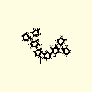 Cc1c(-c2ccc3[nH]c4ccc(-c5ccc(N(c6ccccc6)c6ccccc6)c(C)c5C)cc4c3c2)ccc(N(c2ccccc2)c2ccccc2)c1C